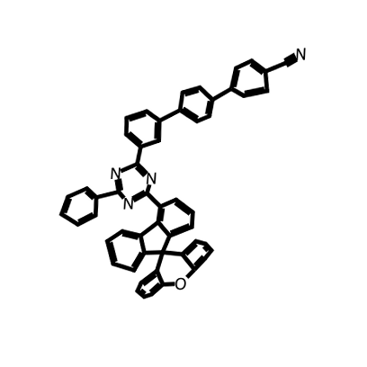 N#Cc1ccc(-c2ccc(-c3cccc(-c4nc(-c5ccccc5)nc(-c5cccc6c5-c5ccccc5C65c6ccccc6Oc6ccccc65)n4)c3)cc2)cc1